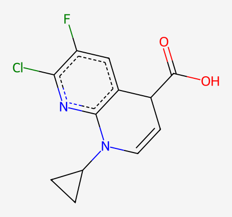 O=C(O)C1C=CN(C2CC2)c2nc(Cl)c(F)cc21